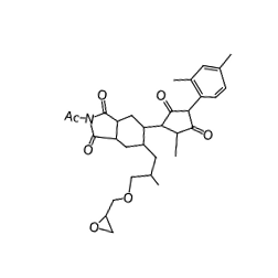 CC(=O)N1C(=O)C2CC(CC(C)COCC3CO3)C(C3C(=O)C(c4ccc(C)cc4C)C(=O)C3C)CC2C1=O